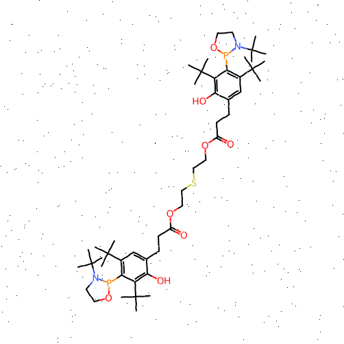 CC(C)(C)c1cc(CCC(=O)OCCSCCOC(=O)CCc2cc(C(C)(C)C)c(P3OCCN3C(C)(C)C)c(C(C)(C)C)c2O)c(O)c(C(C)(C)C)c1P1OCCN1C(C)(C)C